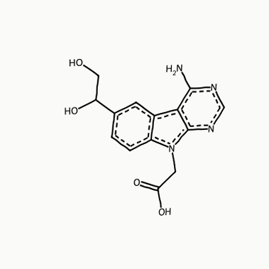 Nc1ncnc2c1c1cc(C(O)CO)ccc1n2CC(=O)O